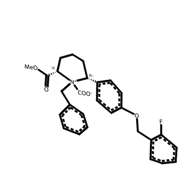 COC(=O)[C@@H]1CCC[C@H](c2ccc(OCc3ccccc3F)cc2)[N+]1(Cc1ccccc1)C(=O)[O-]